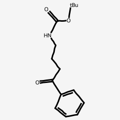 CC(C)(C)OC(=O)NCCCC(=O)c1ccccc1